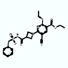 CCOC(=O)c1cc(C#N)c(N2CC(C(=O)NS(=O)(=O)Cc3ccccc3)C2)nc1OCC